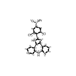 CC(C)[S+]([O-])c1cc(Cl)c(-c2nc3c([nH]2)-c2ccncc2Nc2ncccc2-3)c(Cl)c1